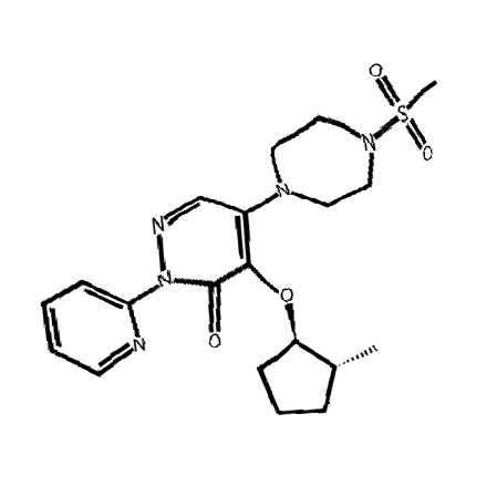 C[C@@H]1CCC[C@H]1Oc1c(N2CCN(S(C)(=O)=O)CC2)cnn(-c2ccccn2)c1=O